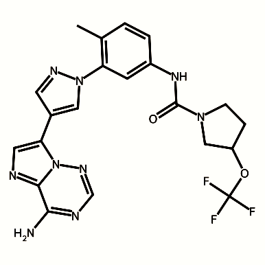 Cc1ccc(NC(=O)N2CCC(OC(F)(F)F)C2)cc1-n1cc(-c2cnc3c(N)ncnn23)cn1